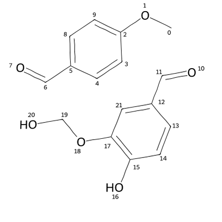 COc1ccc(C=O)cc1.O=Cc1ccc(O)c(OCO)c1